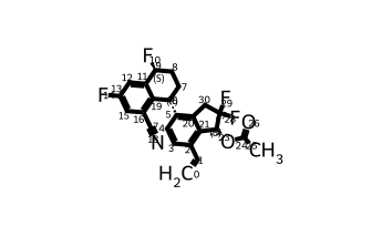 C=Cc1ccc([C@H]2CC[C@H](F)c3cc(F)cc(C#N)c32)c2c1[C@H](OC(C)=O)C(F)(F)C2